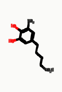 O=C(O)CCCCc1cc(O)c(O)c([N+](=O)[O-])c1